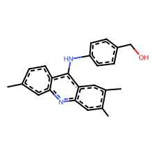 Cc1ccc2c(Nc3ccc(CO)cc3)c3cc(C)c(C)cc3nc2c1